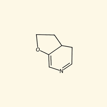 C1=NC=C2OCCC2C1